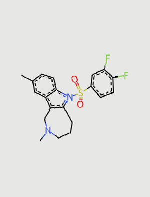 Cc1ccc2c(c1)c1c(n2S(=O)(=O)c2ccc(F)c(F)c2)CCCN(C)C1